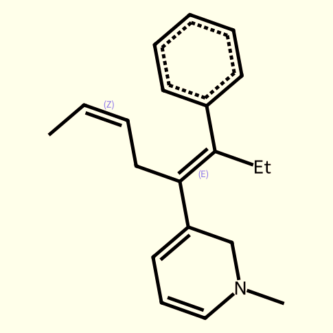 C/C=C\C/C(C1=CC=CN(C)C1)=C(/CC)c1ccccc1